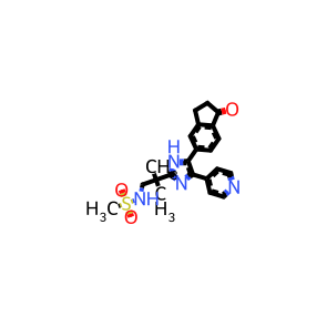 CC(C)(CNS(C)(=O)=O)c1nc(-c2ccncc2)c(-c2ccc3c(c2)CCC3=O)[nH]1